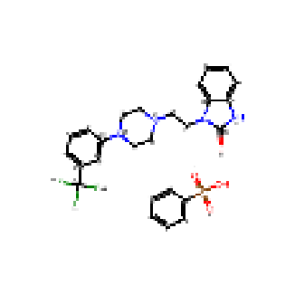 O=S(=O)(O)c1ccccc1.O=c1[nH]c2ccccc2n1CCN1CCN(c2cccc(C(F)(F)F)c2)CC1